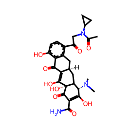 CC(=O)N(CC(=O)c1ccc(O)c2c1C[C@H]1CC3[C@H](N(C)C)C(O)=C(C(N)=O)C(=O)[C@@]3(O)C(O)=C1C2=O)C1CC1